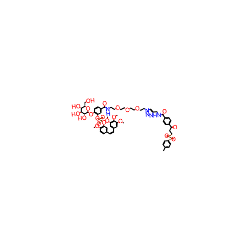 COc1ccc(/C=C\c2cc(OC)c(OC)c(OC)c2)cc1OS(=O)(=O)Oc1cc(C(=O)NCCOCCOCCOCCn2cc(CNC(=O)c3ccc(C(=O)CCS(=O)(=O)c4ccc(C)cc4)cc3)nn2)ccc1OC1O[C@H](CO)[C@H](O)[C@H](O)[C@H]1O